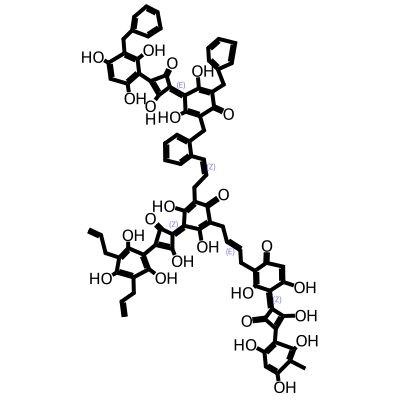 C=CCc1c(O)c(CC=C)c(O)c(C2=C(O)/C(=C3/C(O)=C(C/C=C\c4ccccc4CC4=C(O)/C(=C5/C(=O)C(c6c(O)cc(O)c(Cc7ccccc7)c6O)=C5O)C(O)=C(Cc5ccccc5)C4=O)C(=O)C(C/C=C/CC4=C(O)/C(=C5\C(=O)C(c6c(O)cc(O)c(C)c6O)=C5O)C(O)=CC4=O)=C3O)C2=O)c1O